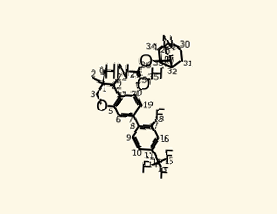 CC1(C)COc2cc(-c3ccc(C(F)(F)F)cc3F)ccc2C1NC(=O)O[C@H]1CN2CCC1CC2